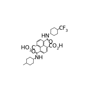 CC1CCC(NC(=O)c2ccc(C(=O)O)c3c(C(=O)N[C@H]4CC[C@H](C(F)(F)F)CC4)ccc(C(=O)O)c23)CC1